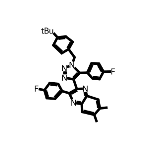 Cc1cc2nc(-c3ccc(F)cc3)c(-c3nnn(Cc4ccc(C(C)(C)C)cc4)c3-c3ccc(F)cc3)nc2cc1C